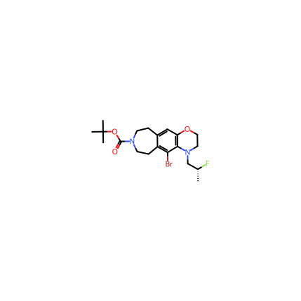 C[C@@H](F)CN1CCOc2cc3c(c(Br)c21)CCN(C(=O)OC(C)(C)C)CC3